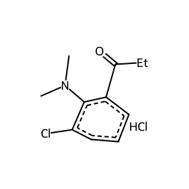 CCC(=O)c1cccc(Cl)c1N(C)C.Cl